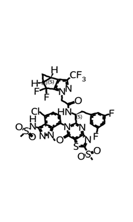 Cn1nc(NS(C)(=O)=O)c2c(Cl)ccc(-n3c([C@H](Cc4cc(F)cc(F)c4)NC(=O)Cn4nc(C(F)(F)F)c5c4C(F)(F)[C@@H]4C[C@H]54)nc4nc(S(C)(=O)=O)sc4c3=O)c21